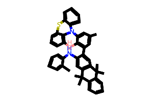 Cc1cc(-c2cc3c(cc2Nc2ccccc2C)C(C)(C)c2ccccc2C3(C)C)c2c(c1)N1c3ccccc3Sc3cccc(c31)B2